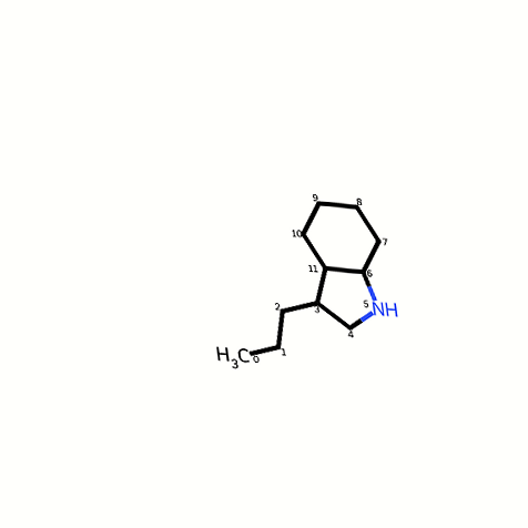 CCCC1CNC2CCCCC12